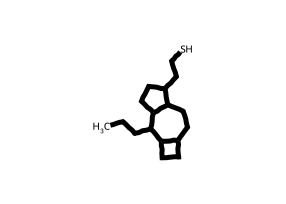 CCCC1C2CCC2CCC2C(CCS)CCC21